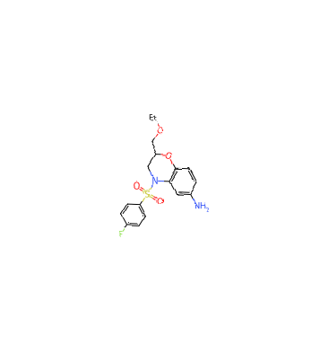 CCOCC1CN(S(=O)(=O)c2ccc(F)cc2)c2cc(N)ccc2O1